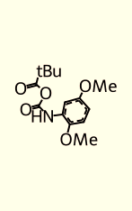 COc1ccc(OC)c(NC(=O)OC(=O)C(C)(C)C)c1